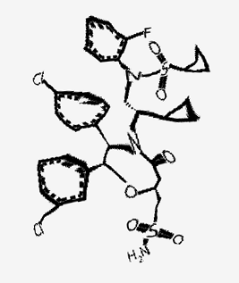 NS(=O)(=O)C[C@H]1O[C@@H](c2cccc(Cl)c2)[C@@H](c2ccc(Cl)cc2)N([C@H](CN(c2ccccc2F)S(=O)(=O)C2CC2)C2CC2)C1=O